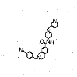 N#Cc1ccc(CN2CCc3ccc(C(=O)NC4CCN(Cc5cccnc5)CC4)cc3C2)cc1